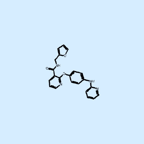 O=C(NCc1ccco1)c1cccnc1Oc1ccc(Nc2ccccn2)cc1